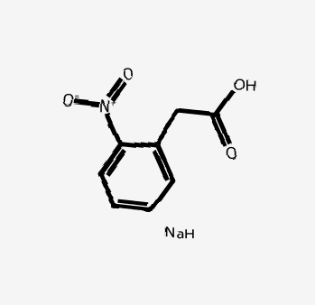 O=C(O)Cc1ccccc1[N+](=O)[O-].[NaH]